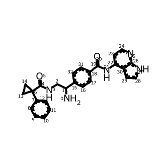 NC(CNC(=O)C1(c2ccccc2)CC1)c1ccc(C(=O)Nc2ccnc3[nH]ccc23)cc1